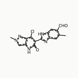 Cc1cc2nc(-c3c(Cl)c4nn(C)cc4[nH]c3=O)[nH]c2cc1C=O